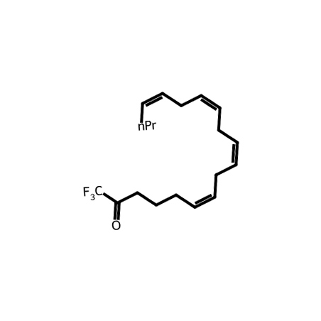 CCC/C=C\C/C=C\C/C=C\C/C=C\CCCC(=O)C(F)(F)F